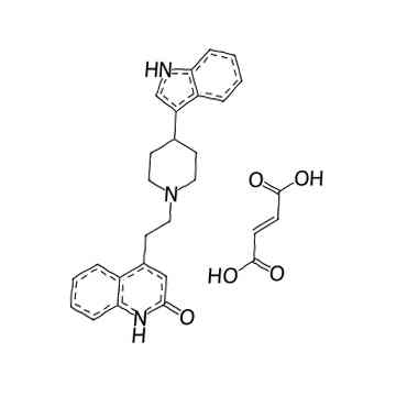 O=C(O)/C=C/C(=O)O.O=c1cc(CCN2CCC(c3c[nH]c4ccccc34)CC2)c2ccccc2[nH]1